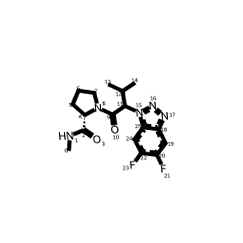 CNC(=O)[C@@H]1CCCN1C(=O)C(C(C)C)n1nnc2cc(F)c(F)cc21